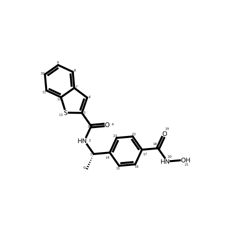 C[C@H](NC(=O)c1cc2ccccc2s1)c1ccc(C(=O)NO)cc1